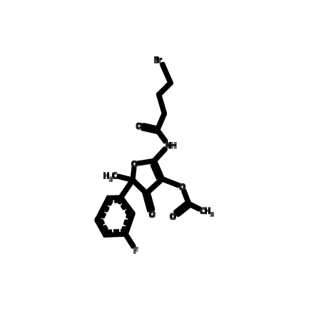 CC(=O)OC1=C(NC(=O)CCCBr)OC(C)(c2cccc(F)c2)C1=O